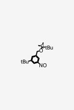 CC(C)(C)c1cc(CO[Si](C)(C)C(C)(C)C)cc(N=O)c1